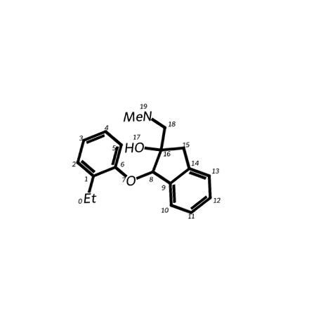 CCc1ccccc1OC1c2ccccc2CC1(O)CNC